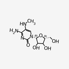 CNc1cn([C@@H]2O[C@H](CO)C(O)C2O)c(=O)nc1N